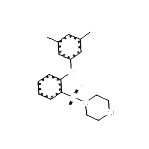 Cc1cc(C)cc(Oc2ccccc2S(=O)(=O)N2CCNCC2)c1